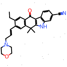 CCc1cc2c(cc1/C=C/CN1CCOCC1)C(C)(C)c1[nH]c3cc(C#N)ccc3c1C2=O